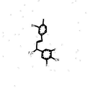 Cc1ccc(/C=C/C(c2cc(F)c(C#N)c(F)c2)C(F)(F)F)cc1Br